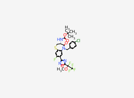 COC(F)(c1nc(-c2cc3c(cc2F)SC[C@H](NC(=O)OC(C)(C)C)C(=O)N3Cc2ccc(Cl)cc2)no1)C(F)(F)F